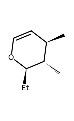 CC[C@H]1OC=C[C@@H](C)[C@@H]1C